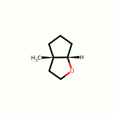 C[C@@]12CCC[C@@H]1OCC2